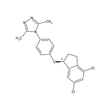 Cc1nnc(C)n1-c1ccc(O[C@H]2[CH]Cc3c(Cl)cc(Cl)cc32)cc1